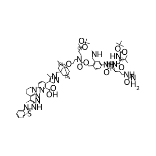 CNCc1cc(NC(=O)[C@H](CCCNC(N)=O)NC(=O)[C@@H](NC(=O)OC(C)(C)C)C(C)C)ccc1COC(=O)N(CCOC12CC3(Cn4ncc(-c5ccc(N6CCCc7c6nnc(Nc6nc8ccccc8s6)c7C)nc5C(=O)O)c4C)C[C@@](C)(C1)C[C@](C)(C3)C2)CC[C@H]1COC(C)(C)O1